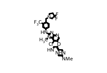 CNC1=CN/C(=C(\C=N)Oc2cnc3nc(Nc4ccc(CN5CCC(F)(F)C5)c(C(F)(F)F)c4)n(C)c3c2Cl)C=N1